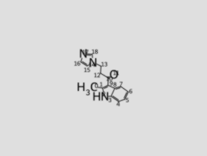 Cc1[nH]c2ccccc2c1C(=O)CCn1ccnc1